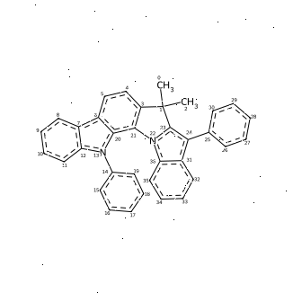 CC1(C)c2ccc3c4ccccc4n(-c4ccccc4)c3c2-n2c1c(-c1ccccc1)c1ccccc12